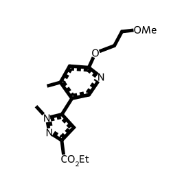 CCOC(=O)c1cc(-c2cnc(OCCOC)cc2C)n(C)n1